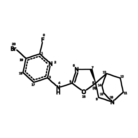 Fc1nc(NC2=NC[C@@]3(CN4CCC3CC4)O2)ccc1Br